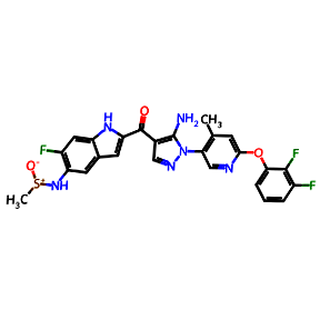 Cc1cc(Oc2cccc(F)c2F)ncc1-n1ncc(C(=O)c2cc3cc(N[S+](C)[O-])c(F)cc3[nH]2)c1N